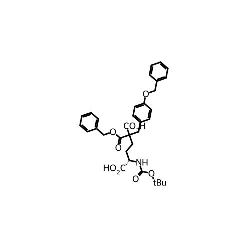 CC(C)(C)OC(=O)N[C@@H](CCC(Cc1ccc(OCc2ccccc2)cc1)(C(=O)O)C(=O)OCc1ccccc1)C(=O)O